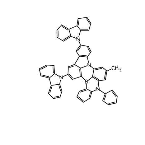 Cc1cc2c3c(c1)-n1c4ccc(-n5c6ccccc6c6ccccc65)cc4c4cc(-n5c6ccccc6c6ccccc65)cc(c41)B3c1ccccc1N2c1ccccc1